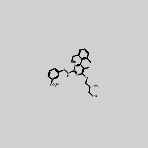 Cc1cccc(CC(C)(C)C)c1-c1nc(NSc2cccc(C(=O)O)c2)nc(OC[C@H](N)CC(C)(C)C)c1C